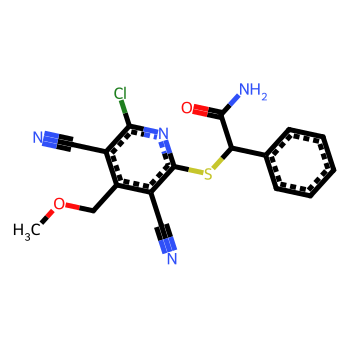 COCc1c(C#N)c(Cl)nc(SC(C(N)=O)c2ccccc2)c1C#N